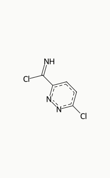 N=C(Cl)c1ccc(Cl)nn1